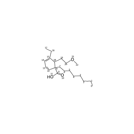 CCCCCCCCC1(C(=O)O)C=CC=C(CC)C1CCOC